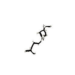 COC1CN(CCC(C)C)C1